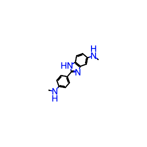 CNc1ccc(-c2nc3cc(NC)ccc3[nH]2)cc1